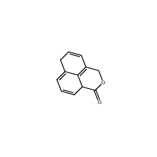 O=C1OCC2=C3C(=CC=CC13)CC=C2